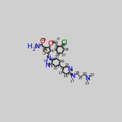 C[C@@H](Oc1cc(-n2cnc3cc(-c4ccc(N(C)CCCN(C)C)nc4)ccc32)sc1C(N)=O)c1ccccc1Cl